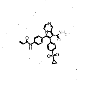 C=CC(=O)Nc1ccc(-c2c(-c3ccc(S(=O)(=O)C4CC4)cc3)c(C(N)=O)c3cnccn23)cc1